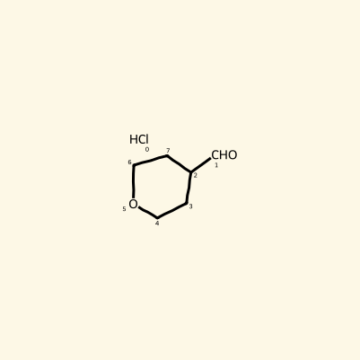 Cl.O=CC1CCOCC1